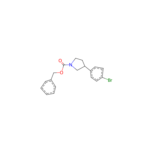 O=C(OCc1ccccc1)N1CCC(c2ccc(Br)cc2)C1